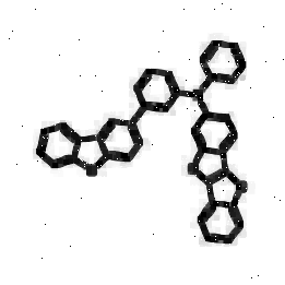 c1ccc(N(c2cccc(-c3ccc4oc5ccccc5c4c3)c2)c2ccc3c(c2)oc2c4ccccc4oc32)cc1